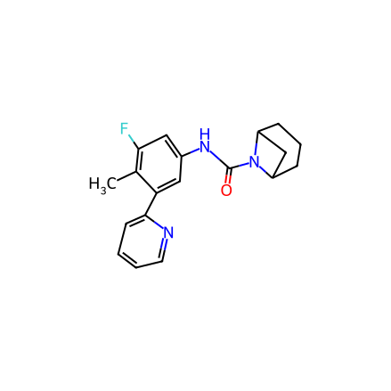 Cc1c(F)cc(NC(=O)N2C3CCCC2C3)cc1-c1ccccn1